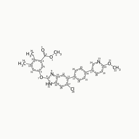 COC(=O)c1cc(Oc2nc3cc(-c4ccc(-c5ccc(OC)nc5)cc4)c(Cl)cc3[nH]2)cc(C)c1C